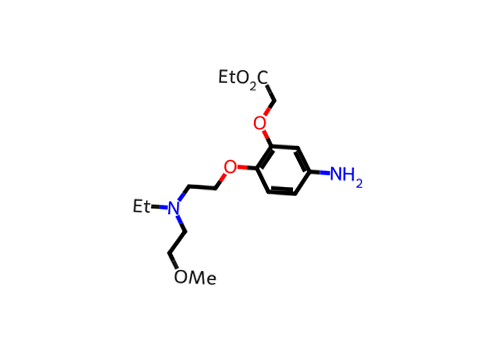 CCOC(=O)COc1cc(N)ccc1OCCN(CC)CCOC